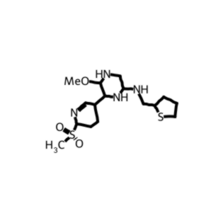 COC1NCC(NCC2CCCS2)NC1C1C=NC(S(C)(=O)=O)CC1